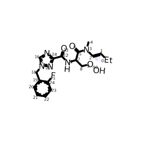 CC/C=C/N(C)C(=O)C(COO)NC(=O)c1ncn(Cc2ccccc2F)n1